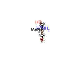 CCOCc1ccc(-c2cc(NC)c(C(N)Nc3cccc(O)c3)s2)cc1